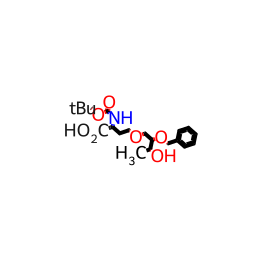 CC(O)C(COCCC(NC(=O)OC(C)(C)C)C(=O)O)OCc1ccccc1